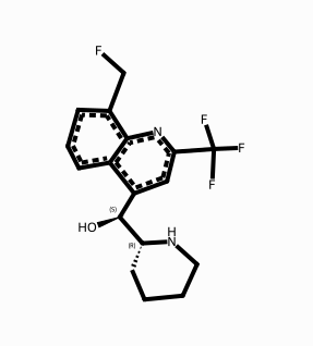 O[C@@H](c1cc(C(F)(F)F)nc2c(CF)cccc12)[C@H]1CCCCN1